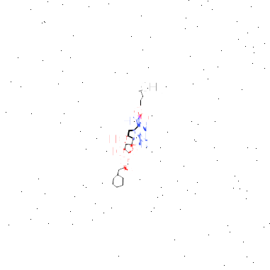 CCCCCOC(=O)Nc1ncnn2c([C@]3(C#N)O[C@H](COC(=O)CC4CCCCC4)[C@@H](O)[C@H]3O)ccc12